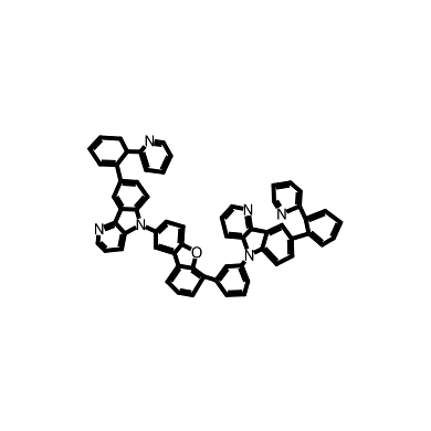 C1=CCC(c2ccccn2)C(c2ccc3c(c2)c2ncccc2n3-c2ccc3oc4c(-c5cccc(-n6c7ccc(-c8ccccc8-c8ccccn8)cc7c7ncccc76)c5)cccc4c3c2)=C1